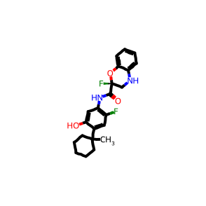 CC1(c2cc(F)c(NC(=O)[C@@]3(F)CNc4ccccc4O3)cc2O)CCCCC1